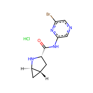 Cl.O=C(Nc1cncc(Br)n1)[C@@H]1C[C@@H]2C[C@H]2N1